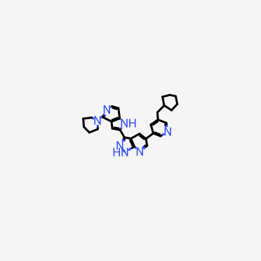 c1cc2[nH]c(-c3n[nH]c4ncc(-c5cncc(CC6CCCCC6)c5)cc34)cc2c(N2CCCCC2)n1